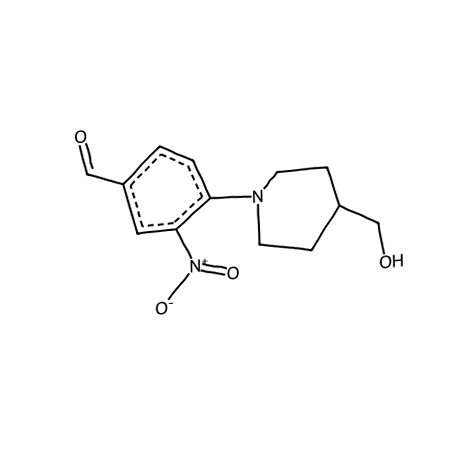 O=Cc1ccc(N2CCC(CO)CC2)c([N+](=O)[O-])c1